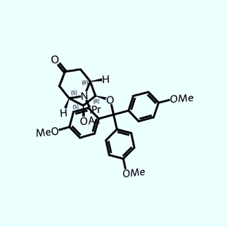 COc1ccc(C(O[C@H]2[C@@H](OC(C)=O)[C@@H]3CC(=O)C[C@H]2N3C(C)C)(c2ccc(OC)cc2)c2ccc(OC)cc2)cc1